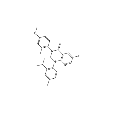 COc1ccc(N2CN(c3ccc(F)cc3C(C)C)c3ncc(F)cc3C2=O)c(C)n1